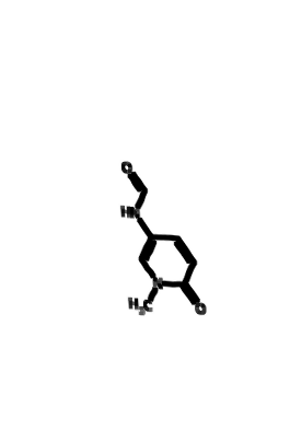 Cn1cc(NC=O)ccc1=O